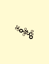 COc1cc(CN2C(=O)N(c3ccc(OC(F)(F)F)cc3)C(=O)C2(C)C)c2ccccc2n1